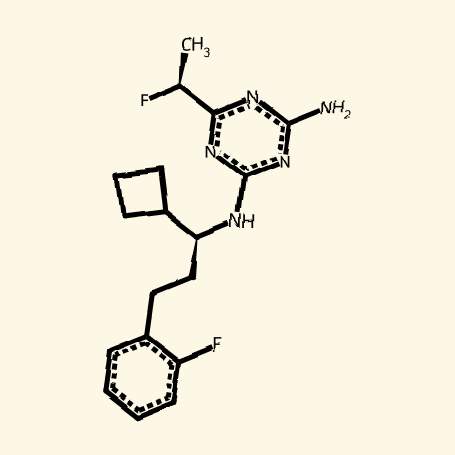 C[C@H](F)c1nc(N)nc(N[C@@H](CCc2ccccc2F)C2CCC2)n1